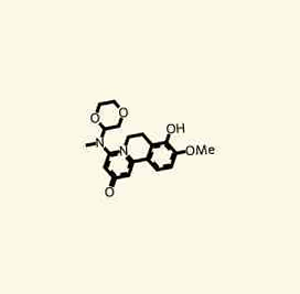 COc1ccc2c(c1O)CCn1c-2cc(=O)cc1N(C)C1COCCO1